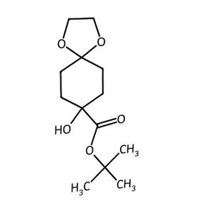 CC(C)(C)OC(=O)C1(O)CCC2(CC1)OCCO2